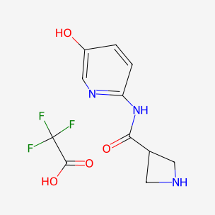 O=C(Nc1ccc(O)cn1)C1CNC1.O=C(O)C(F)(F)F